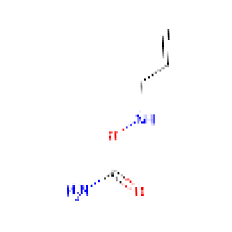 C=CCNOC(N)=O